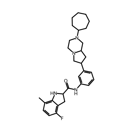 Cc1ccc(F)c2c1NC(C(=O)Nc1cccc(C3CC4CN(C5CCCCCC5)CCN4C3)c1)C2